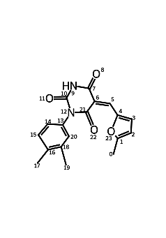 Cc1ccc(C=C2C(=O)NC(=O)N(c3ccc(C)c(C)c3)C2=O)o1